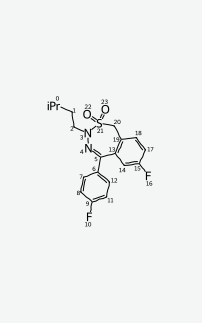 CC(C)CCN1N=C(c2ccc(F)cc2)c2cc(F)ccc2CS1(=O)=O